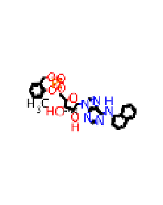 Cc1cccc2c1OP(=O)(OCC1OC(n3cnc4c(Nc5cccc6ccccc56)ncnc43)[C@H](O)[C@@H]1O)OC2